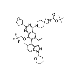 C=Cc1cc2c(N3CCC4(CC3)CN(C(=O)OC(C)(C)C)C4)nc(C3CCOC3)nc2c(OCC(F)(F)F)c1-c1c(C)ccc2c1cnn2C1CCCCO1